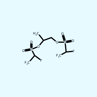 CC(COS(=O)(=O)C(F)C(F)(F)F)OS(=O)(=O)C(F)C(F)(F)F